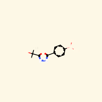 CC(C)(O)c1nnc(-c2ccc(B(O)O)cc2)o1